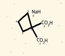 O=C(O)C1(C(=O)O)CCC1.[NaH]